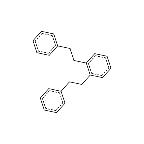 c1ccc(CCc2ccccc2CCc2ccccc2)cc1